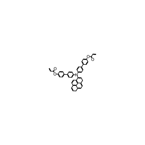 C=CC(=O)Oc1ccc(-c2ccc(N(C3=CCc4ccc5c6c(ccc3c46)C=CC5)c3ccc(-c4ccc(OC(=O)C=C)cc4)cc3)cc2)cc1